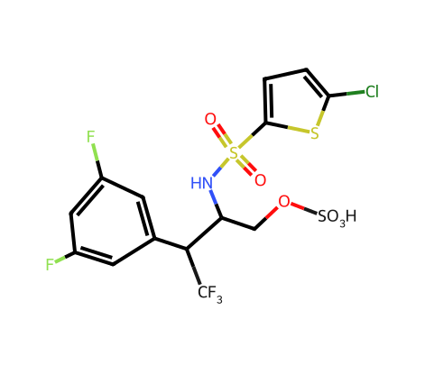 O=S(=O)(O)OCC(NS(=O)(=O)c1ccc(Cl)s1)C(c1cc(F)cc(F)c1)C(F)(F)F